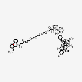 C=Cc1ccccc1CN(C(=O)CCC(=O)NCCOCCOCCOCCOCCC(=O)N[C@H](C(=O)N[C@@H](C)C(=O)Nc1ccc(OCC(=O)[C@@]23O[C@H](CCC)O[C@]2(C)C[C@H]2[C@@H]4CCC5=CC(=O)C=C[C@]5(C)[C@H]4[C@@H](O)C[C@@]23C)cc1)C(C)C)c1ccccc1CC